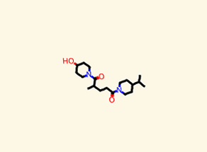 CC(CCC(=O)N1CCC(C(C)C)CC1)C(=O)N1CCC(O)CC1